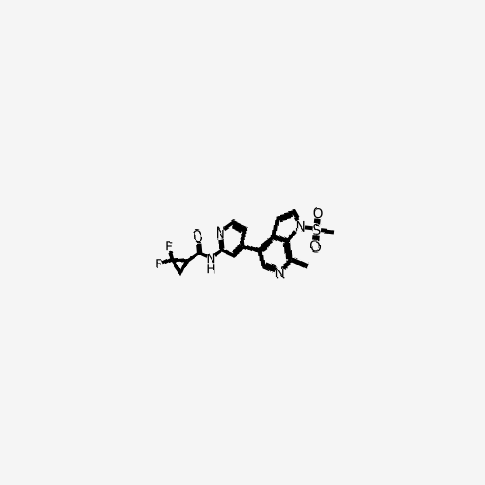 Cc1ncc(-c2ccnc(NC(=O)C3CC3(F)F)c2)c2ccn(S(C)(=O)=O)c12